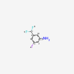 Nc1cc(I)cc(C(F)F)c1